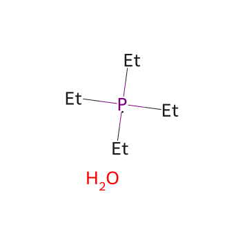 CC[P](CC)(CC)CC.O